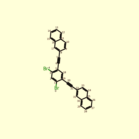 Brc1cc(Br)c(C#Cc2ccc3ccccc3c2)cc1C#Cc1ccc2ccccc2c1